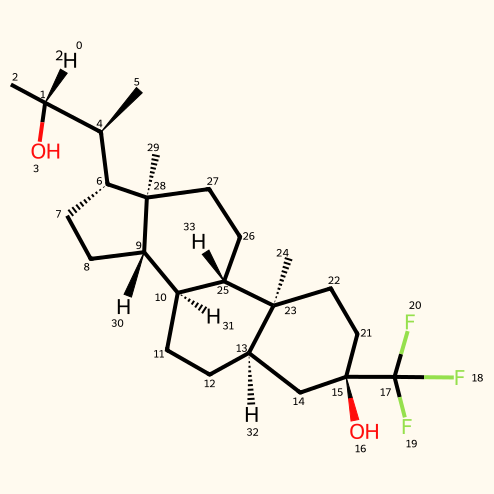 [2H][C@](C)(O)[C@@H](C)[C@H]1CC[C@H]2[C@@H]3CC[C@@H]4C[C@@](O)(C(F)(F)F)CC[C@]4(C)[C@H]3CC[C@]12C